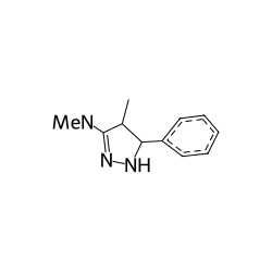 CNC1=NNC(c2ccccc2)C1C